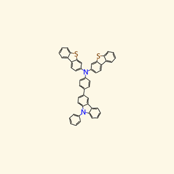 c1ccc(-n2c3ccccc3c3cc(-c4ccc(N(c5ccc6c(c5)sc5ccccc56)c5ccc6c(c5)sc5ccccc56)cc4)ccc32)cc1